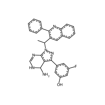 CC(c1cc2ccccc2nc1-c1ccccc1)n1nc(-c2cc(O)cc(F)c2)c2c1N=CNC2N